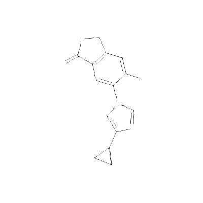 Cc1cc2c(cc1-n1cnc(C3CC3)c1)C(=O)NC2